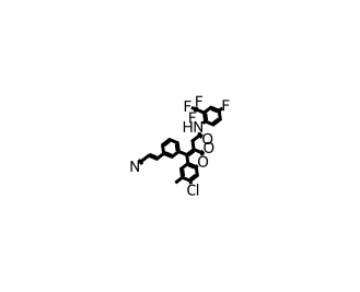 Cc1cc2c(-c3cccc(C=CC#N)c3)c(CC(=O)Nc3ccc(F)cc3C(F)(F)F)c(=O)oc2cc1Cl